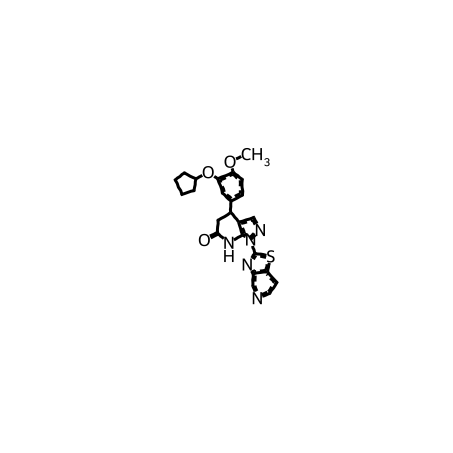 COc1ccc(C2CC(=O)Nc3c2cnn3-c2nc3cnccc3s2)cc1OC1CCCC1